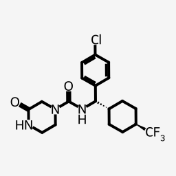 O=C1CN(C(=O)NC(c2ccc(Cl)cc2)[C@H]2CC[C@H](C(F)(F)F)CC2)CCN1